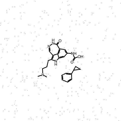 CN(C)CCCc1[nH]c2cc(NC(=O)O)cc3c2c1C=NNC3=O.c1ccc(C2CC2)cc1